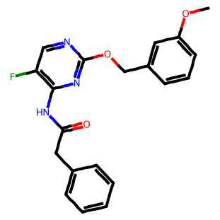 COc1cccc(COc2ncc(F)c(NC(=O)Cc3ccccc3)n2)c1